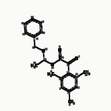 Cc1cc(C)c(C(=O)[PH](=O)OC(C)OCc2ccccc2)c(C)c1